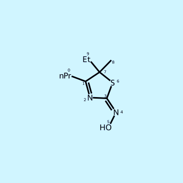 CCCC1=NC(=NO)SC1(C)CC